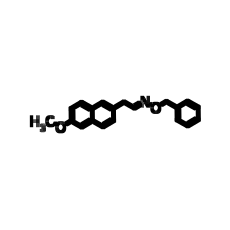 COc1ccc2cc(CC=NOCc3ccccc3)ccc2c1